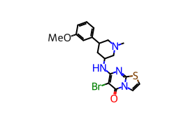 COc1cccc(C2CC(Nc3nc4sccn4c(=O)c3Br)CN(C)C2)c1